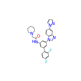 O=C(CN1CCCCC1)Nc1cc(-c2ccc(F)cc2F)cc(-n2cnc3cc(-n4cccn4)ccc32)c1